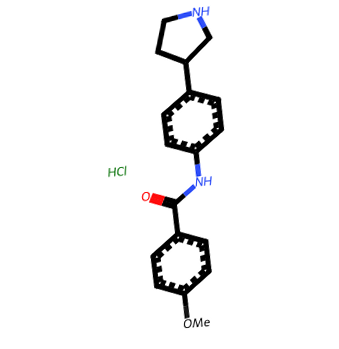 COc1ccc(C(=O)Nc2ccc(C3CCNC3)cc2)cc1.Cl